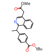 COC(=O)Cc1cnc(C(C)c2ccc(C(=O)OC(C)(C)C)cc2)c2ccccc12